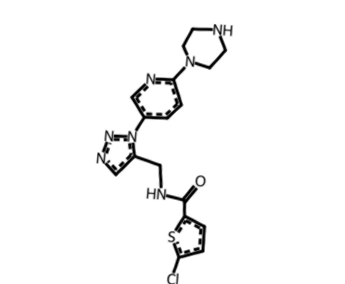 O=C(NCc1cnnn1-c1ccc(N2CCNCC2)nc1)c1ccc(Cl)s1